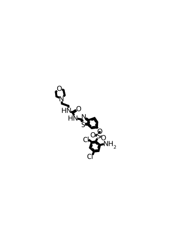 Nc1cc(Cl)cc(Cl)c1S(=O)(=O)Oc1ccc2nc(NC(=O)NCCN3CCOCC3)sc2c1